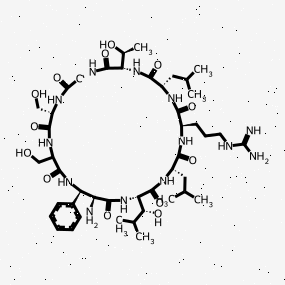 CC(C)C[C@@H]1NC(=O)[C@H]([C@H](O)C(C)C)NC(=O)[C@@H](N)[C@@H](c2ccccc2)NC(=O)C(CO)NC(=O)[C@H](CO)NC(=O)CNC(=O)[C@H]([C@H](C)O)NC(=O)[C@H](CC(C)C)NC(=O)[C@@H](CCCNC(=N)N)NC1=O